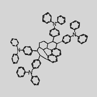 c1ccc(N(c2ccccc2)c2ccc(C3c4ccc5ccc6c7c5c4C4C(CCC(C(c5ccc(N(c8ccccc8)c8ccccc8)cc5)C6c5ccc(N(c6ccccc6)c6ccccc6)cc5)C74)C3c3ccc(N(c4ccccc4)c4ccccc4)cc3)cc2)cc1